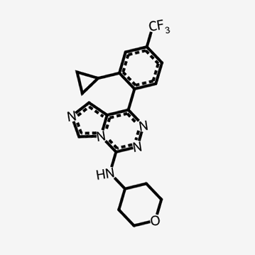 FC(F)(F)c1ccc(-c2nnc(NC3CCOCC3)n3cncc23)c(C2CC2)c1